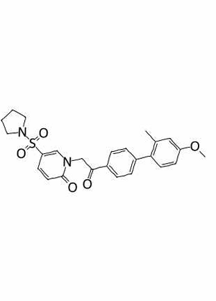 COc1ccc(-c2ccc(C(=O)Cn3cc(S(=O)(=O)N4CCCC4)ccc3=O)cc2)c(C)c1